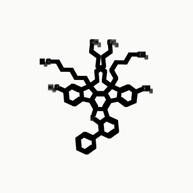 CCCCCCC1(CCCCCC)c2cc(C)ccc2-c2c1c1c(c3c2sc2c(-c4ccccc4)cccc23)-c2ccc(C)cc2C1(CCCCCC)CCCCCC